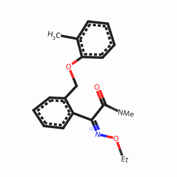 CCO/N=C(\C(=O)NC)c1ccccc1COc1ccccc1C